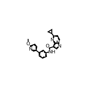 COc1ccc(-c2cccc(NC(=O)c3cnn4ccc(C5CC5)nc34)c2)cn1